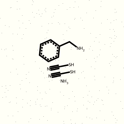 N.N#CS.N#CS.NCc1ccccc1